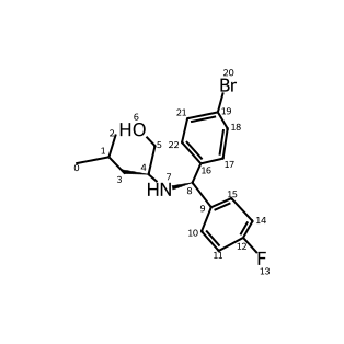 CC(C)C[C@@H](CO)N[C@H](c1ccc(F)cc1)c1ccc(Br)cc1